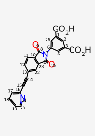 O=C(O)c1cc(C(=O)O)cc(N2C(=O)c3ccc(C#Cc4ccccn4)cc3C2=O)c1